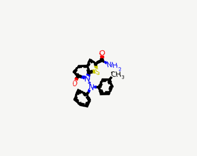 Cc1cccc(N(c2ccccc2)n2c(=O)ccc3cc(C(N)=O)sc32)c1